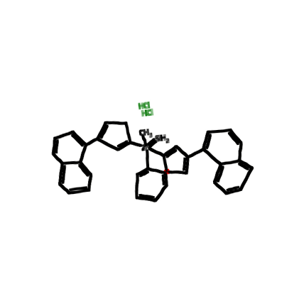 Cl.Cl.[CH3][Zr](=[SiH2])([C]1=CC(c2cccc3ccccc23)=CC1)([C]1=CC(c2cccc3ccccc23)=CC1)[c]1ccccc1